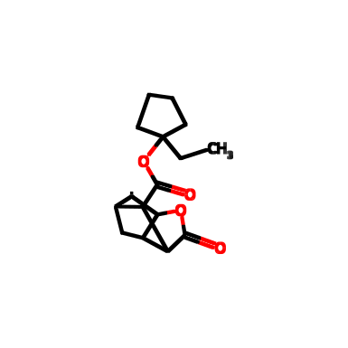 CCC1(OC(=O)C2C3[CH]C4OC(=O)C2C4C3)CCCC1